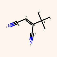 CC(C)(C)C(C#N)=CC#N